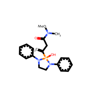 C=C(CC(=O)N(C)OC)[P]1(O)N(c2ccccc2)CCN1c1ccccc1